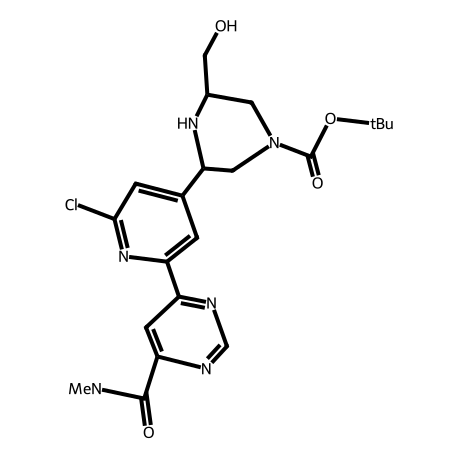 CNC(=O)c1cc(-c2cc(C3CN(C(=O)OC(C)(C)C)CC(CO)N3)cc(Cl)n2)ncn1